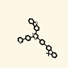 CC1(C)c2ccccc2-c2ccc(-c3ccc(-c4cc(-c5ccc6oc7ccccc7c6c5)nc(-c5ccc(-c6cccnc6)cc5)n4)cc3)cc21